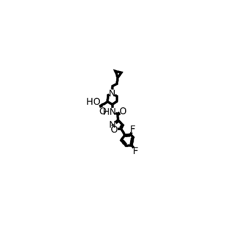 O=C(NC1CCN(CCC2CC2)CC1C(=O)O)c1cc(-c2ccc(F)cc2F)on1